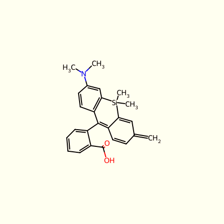 C=c1ccc2c(c1)[Si](C)(C)c1cc(N(C)C)ccc1C=2c1ccccc1C(=O)O